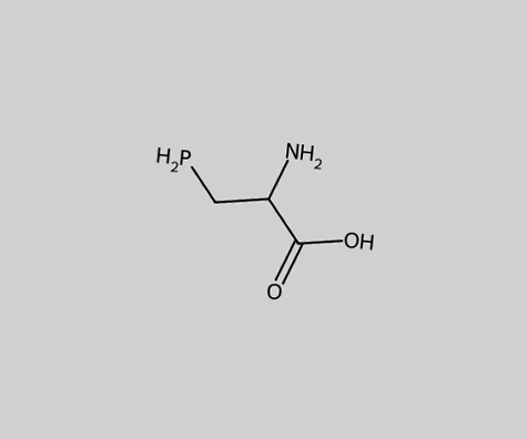 NC(CP)C(=O)O